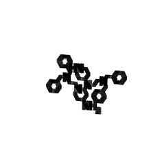 NC1CCN(CCN(Cc2ccccc2)Cc2ccccc2)C(N(CCN(Cc2ccccc2)Cc2ccccc2)C2CCNCC2)C1